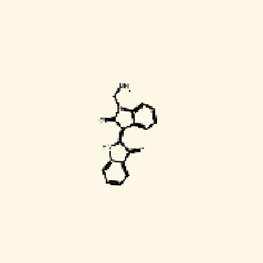 NCN1C(=O)/C(=C2\Nc3ccccc3C2=O)c2ccccc21